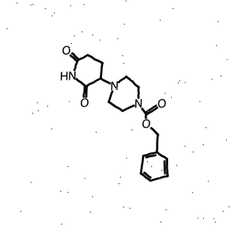 O=C1CCC(N2CCN(C(=O)OCc3ccccc3)CC2)C(=O)N1